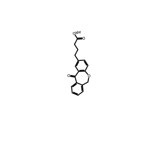 COC(=O)CCCc1ccc2c(c1)C(=O)c1ccccc1CO2